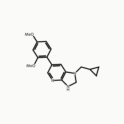 COc1ccc(-c2cnc3c(c2)N(CC2CC2)CN3)c(OC)c1